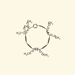 CCCC1(OCOC)CCC(OCOC)c2ccc(cc2)-c2ccc(cc2)C2(OCOC)CCC(OCOC)(CC2)c2ccc(cc2)-c2ccc(cc2)C2(OCOC)CCC(OCOC)(CC2)c2ccc(cc2)-c2ccc1cc2